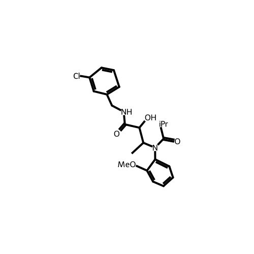 COc1ccccc1N(C(=O)C(C)C)C(C)C(O)C(=O)NCc1cccc(Cl)c1